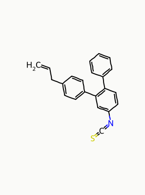 C=CCc1ccc(-c2cc(N=C=S)ccc2-c2ccccc2)cc1